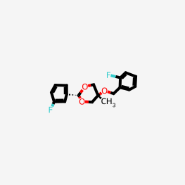 C[C@]1(OCc2ccccc2F)CO[C@@H](c2cccc(F)c2)OC1